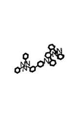 c1ccc(-c2nc(-c3ccccc3)nc(-c3cccc(-c4ccc(-n5c6ccccc6c6c5ccc5c7ccccc7c7nc8ccccc8n7c56)cc4)c3)n2)cc1